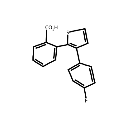 O=C(O)c1ccccc1-c1sccc1-c1ccc(F)cc1